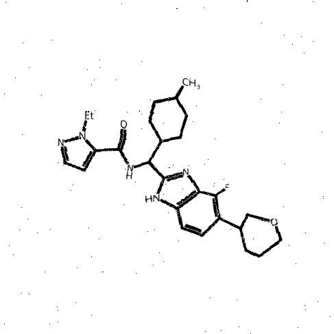 CCn1nccc1C(=O)NC(c1nc2c(F)c(C3CCCOC3)ccc2[nH]1)C1CCC(C)CC1